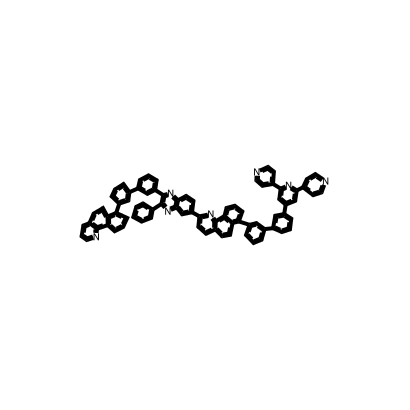 c1ccc(-c2nc3cc(-c4ccc5ccc6c(-c7cccc(-c8cccc(-c9cc(-c%10ccncc%10)nc(-c%10ccncc%10)c9)c8)c7)cccc6c5n4)ccc3nc2-c2cccc(-c3cccc(-c4cccc5c4ccc4cccnc45)c3)c2)cc1